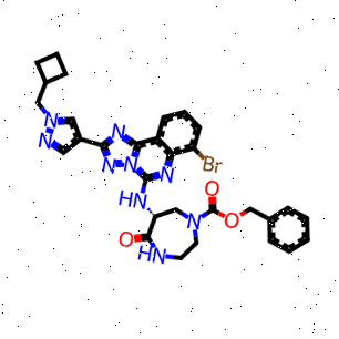 O=C1NCCN(C(=O)OCc2ccccc2)C[C@H]1Nc1nc2c(Br)cccc2c2nc(-c3cnn(CC4CCC4)c3)nn12